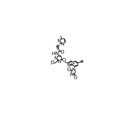 COCc1nc(NC(=O)[C@H]2C[C@@H]2c2nccc(C)n2)cc(OCc2cn3cc(C4CC4)cc(N4CC(=O)N(C)C4=O)c3n2)n1